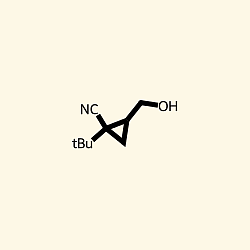 CC(C)(C)C1(C#N)CC1CO